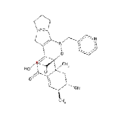 C[C@H]1C=C2C(=O)C=C3C4=C(C5=C(CCC5)C4)N(Cc4cccnc4)O[C@]3(C(=O)CO)[C@@]2(C)C[C@@H]1O